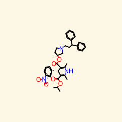 CC1=C(C(=O)OC(C)C)[C@H](c2cccc([N+](=O)[O-])c2)C(C(=O)O[C@@]2(C)CCN(CCC(c3ccccc3)c3ccccc3)C2)=C(C)N1